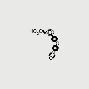 O=C(O)CCN1CCOC(c2ccc(Oc3ccc(N4CCOCC4)cc3)cc2)C1